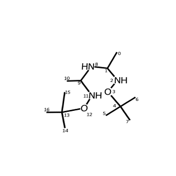 CC(NOC(C)(C)C)NC(C)NOC(C)(C)C